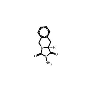 NN1C(=O)[C@@H]2Cc3ccccc3CN2C1=O